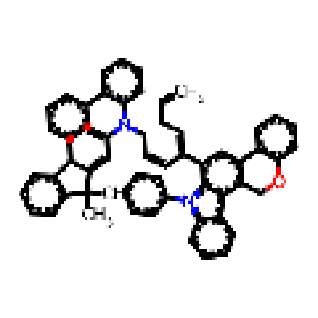 C=CC/C=C(\C=C/CN(C1=CCC2C(=C1)C(C)(C)c1ccccc12)c1ccccc1-c1ccccc1)c1cc2c(c3c4ccccc4n(-c4ccccc4)c13)COc1ccccc1-2